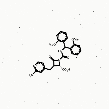 COc1ccccc1C(NC(=O)N1C(=O)C(Cc2ccnc(N)c2)[C@H]1C(=O)O)c1ccccc1OC